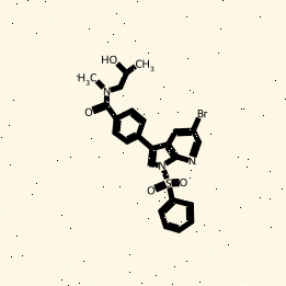 CC(O)CN(C)C(=O)c1ccc(-c2cn(S(=O)(=O)c3ccccc3)c3ncc(Br)cc23)cc1